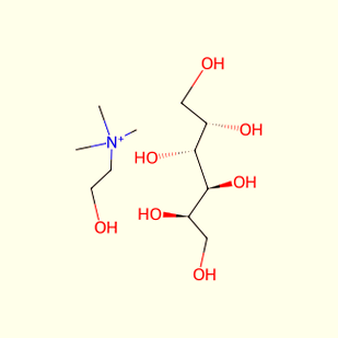 C[N+](C)(C)CCO.OC[C@@H](O)[C@H](O)[C@H](O)[C@@H](O)CO